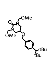 COCN1CC(OCc2ccc(C(C(C)(C)C)C(C)(C)C)cc2)CN(COC)C1=O